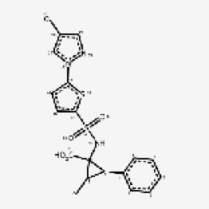 CC1[C@H](c2ccccc2)C1(NS(=O)(=O)c1ccc(-n2cc(Cl)cn2)s1)C(=O)O